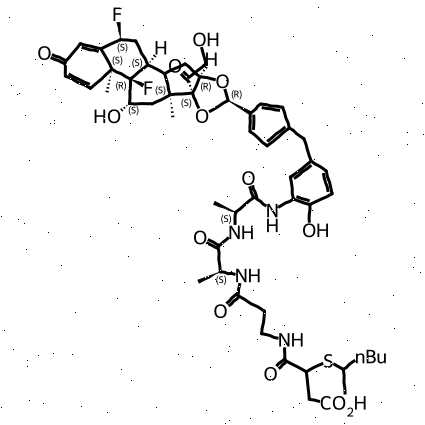 CCCCC(C)SC(CC(=O)O)C(=O)NCCC(=O)N[C@@H](C)C(=O)N[C@@H](C)C(=O)Nc1cc(Cc2ccc([C@@H]3O[C@@H]4CC5[C@@H]6C[C@H](F)C7=CC(=O)C=C[C@]7(C)[C@@]6(F)[C@@H](O)C[C@]5(C)[C@]4(C(=O)CO)O3)cc2)ccc1O